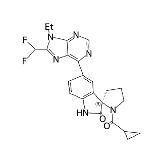 CCn1c(C(F)F)nc2c(-c3ccc4c(c3)[C@]3(CCCN3C(=O)C3CC3)C(=O)N4)ncnc21